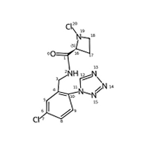 O=C(NCc1cc(Cl)ccc1-n1cnnn1)[C@@H]1CCN1Cl